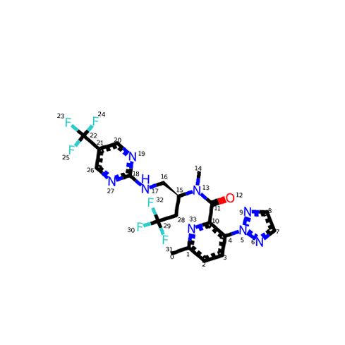 Cc1ccc(-n2nccn2)c(C(=O)N(C)[C@H](CNc2ncc(C(F)(F)F)cn2)CC(F)(F)F)n1